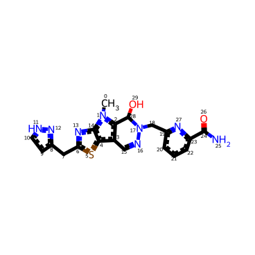 Cn1c2c(c3sc(Cc4cc[nH]n4)nc31)C=NN(Cc1cccc(C(N)=O)n1)C2O